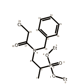 CCOP(=O)(OCC)C(C)CN(Cc1ccccc1)C(=O)CCl